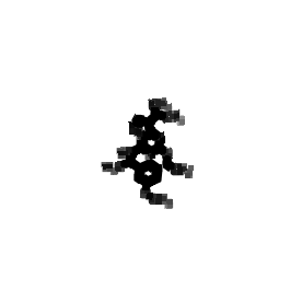 [CH2]COc1nc(NC(C)c2cccc(OC)c2)n2ncc(C(C)C)c2n1